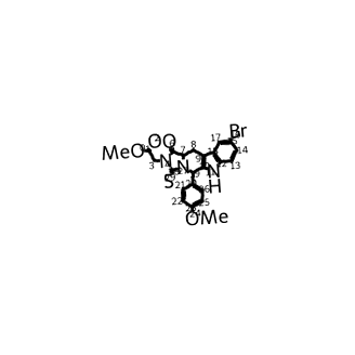 COC(=O)CN1C(=O)C2Cc3c([nH]c4ccc(Br)cc34)C(c3ccc(OC)cc3)N2C1=S